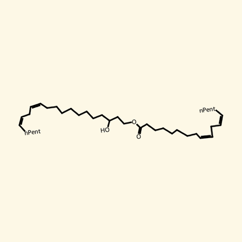 CCCCC/C=C\C/C=C\CCCCCCCCC(O)CCOC(=O)CCCCCCC/C=C\C/C=C\CCCCC